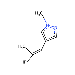 C/C(=C\c1cnn(C)c1)C(C)C